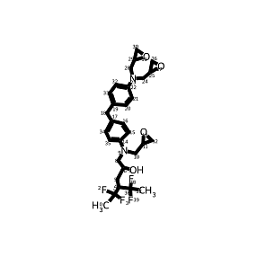 CC(F)(F)C(CC(O)CN(CC1CO1)c1ccc(Cc2ccc(N(CC3CO3)CC3CO3)cc2)cc1)C(C)(F)F